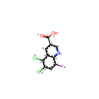 O=C(O)c1cnc2c(I)cc(Cl)c(Cl)c2c1